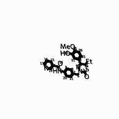 CCC1SC(=O)N(Cc2ccc(NC(=O)c3cccnc3)cc2)N=C1c1ccc(OC)c(O)c1